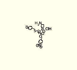 COc1ccc(CS[C@H]2C[C@@H](C(=O)N3CCC(N)C3)N(C(=O)OCc3ccc([N+](=O)[O-])cc3)C2)cc1.Cl